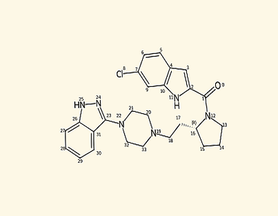 O=C(c1cc2ccc(Cl)cc2[nH]1)N1CCC[C@@H]1CCN1CCN(c2n[nH]c3ccccc23)CC1